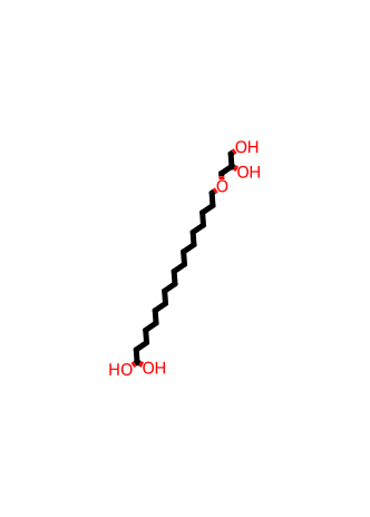 OCC(O)COCCCCCCCCCCCCCCCCCC(O)O